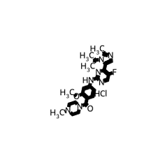 COc1cc(Nc2ncc(F)c(-c3cnc(C)n3C(C)C)n2)ccc1C(=O)N1CCN(C)CC1.Cl